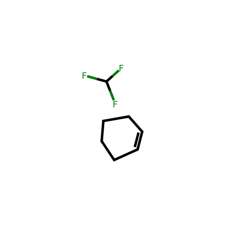 C1=CCCCC1.FC(F)F